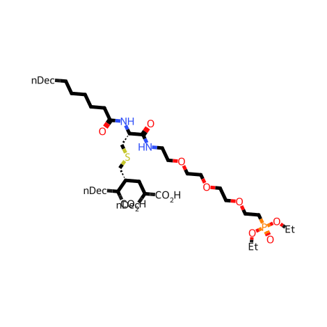 CCCCCCCCCCCCCCCC(=O)N[C@@H](CSC[C@H](CC(CCCCCCCCCC)C(=O)O)C(CCCCCCCCCC)C(=O)O)C(=O)NCCOCCOCCOCCP(=O)(OCC)OCC